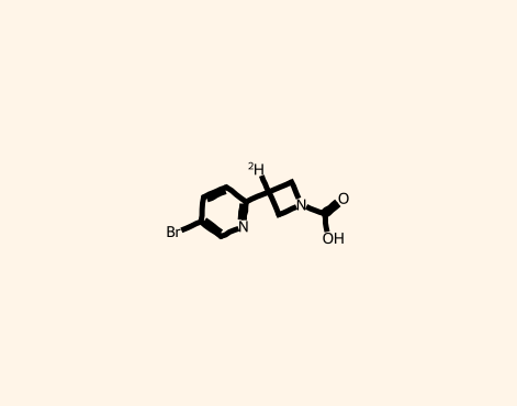 [2H]C1(c2ccc(Br)cn2)CN(C(=O)O)C1